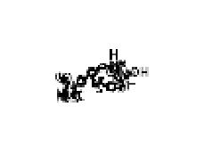 COC(=O)C[C@@H]1N=C(c2ccc(-c3ccc(COCC(=O)NC(C(=O)N4C[C@H](O)C[C@H]4C(=O)N[C@@H](C)c4ccc(-c5scnc5C)cc4)C(C)(C)C)cc3)cc2)c2c(sc(C)c2C)-n2c(C)nnc21